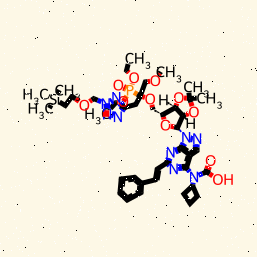 CCOP(=O)(OCC)C(COC)(Cc1nnn(COCC[Si](C)(C)C)n1)OC[C@H]1O[C@@H](n2ncc3c(N(C(=O)O)C4CCC4)nc(/C=C/c4ccccc4)nc32)[C@@H]2OC(C)(C)O[C@@H]21